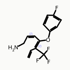 C=C/C(=C(\C=C/CN)Oc1ccc(F)cc1)C(F)(F)F